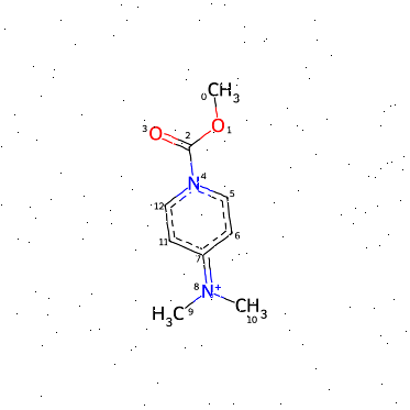 COC(=O)n1ccc(=[N+](C)C)cc1